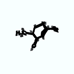 CC1C=NC(Br)=CC1=O